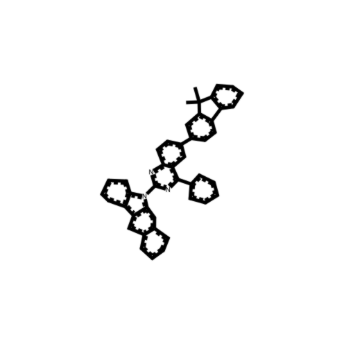 CC1(C)c2ccccc2-c2ccc(-c3ccc4nc(-n5c6ccccc6c6cc7ccccc7cc65)nc(-c5ccccc5)c4c3)cc21